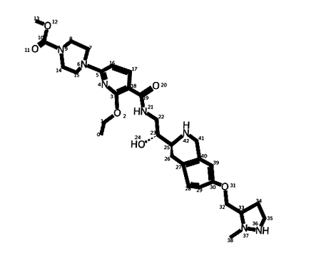 CCOc1nc(N2CCN(C(=O)OC)CC2)ccc1C(=O)NC[C@@H](O)[C@@H]1Cc2ccc(OCC3CCNN3C)cc2CN1